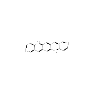 c1cc2nc3cc4cc5cnccc5nc4cc3cc2cn1